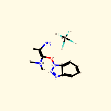 CC([NH3+])=C(On1nnc2ccccc21)N(C)C.F[B-](F)(F)F